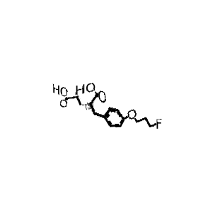 O=C(O)CC[C@@H](Cc1ccc(OCCCF)cc1)C(=O)O